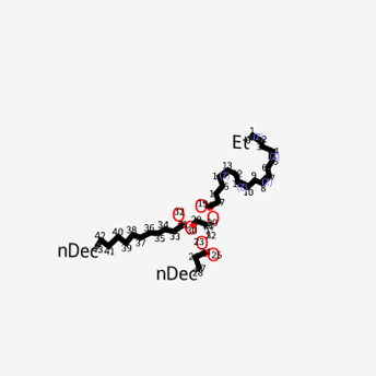 CC/C=C\C/C=C\C/C=C\C/C=C\C/C=C\CCCC(=O)O[C@H](COC(=O)CCCCCCCCCCCC)COC(=O)CCCCCCCCCCCCCCCCCCCC